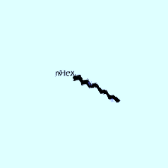 [CH2]CCCCCCCC/C=C/CCC/C=C/C